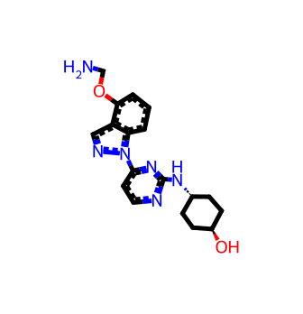 NCOc1cccc2c1cnn2-c1ccnc(N[C@H]2CC[C@H](O)CC2)n1